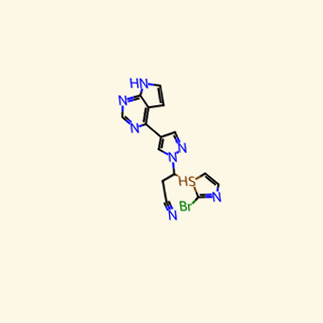 N#CCC(n1cc(-c2ncnc3[nH]ccc23)cn1)[SH]1C=CN=C1Br